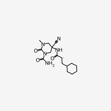 CN1CC(C#N)(NC(=O)[CH]CC2CCCCC2)CN(C(N)=O)C1=O